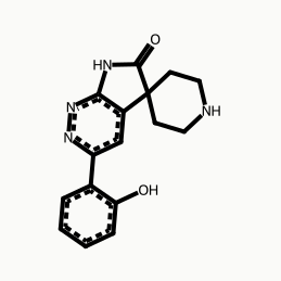 O=C1Nc2nnc(-c3ccccc3O)cc2C12CCNCC2